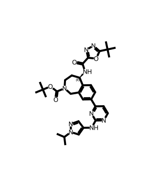 CC(C)n1cc(Nc2nccc(-c3ccc4c(c3)CN(C(=O)OC(C)(C)C)CC[C@H]4NC(=O)c3nnc(C(C)(C)C)o3)n2)cn1